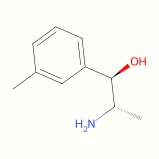 Cc1cccc([C@@H](O)[C@H](C)N)c1